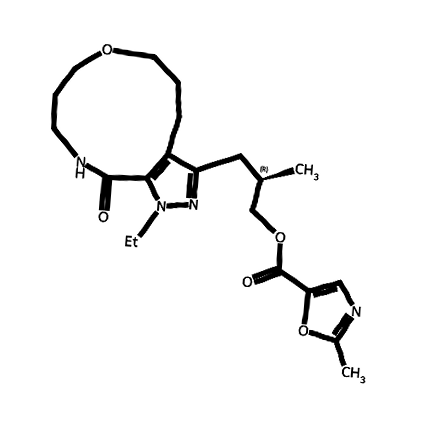 CCn1nc(C[C@@H](C)COC(=O)c2cnc(C)o2)c2c1C(=O)NCCCOCCC2